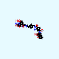 O=C(NCc1ccc(CCNCC(O)c2ccc(O)c3[nH]c(=O)ccc23)cc1)c1ccc(C(=O)N2CC(C(=O)O)(c3ccccc3)C2)cc1